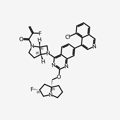 C=C(F)C(=O)N1CC[C@@H]2[C@H]1CN2c1nc(OC[C@]23CCCN2C[C@H](F)C3)nc2cc(-c3cncc4cccc(Cl)c34)ccc12